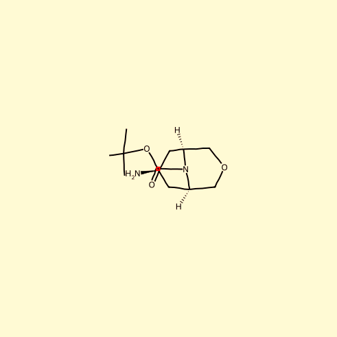 CC(C)(C)OC(=O)N1[C@@H]2COC[C@H]1C[C@@H](N)C2